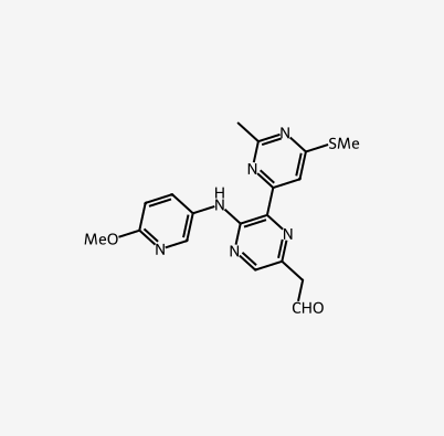 COc1ccc(Nc2ncc(CC=O)nc2-c2cc(SC)nc(C)n2)cn1